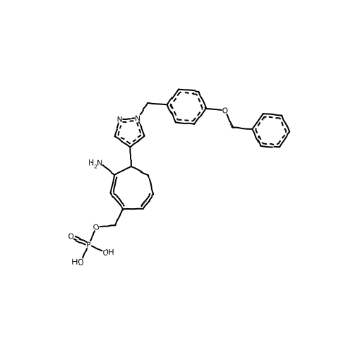 NC1=C=C(COP(=O)(O)O)C=CCC1c1cnn(Cc2ccc(OCc3ccccc3)cc2)c1